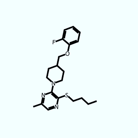 CCCCSc1ncc(C)nc1N1CCC(COc2ccccc2F)CC1